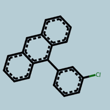 Clc1cccc(-c2c3ccccc3cc3ccccc23)c1